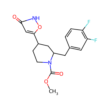 COC(=O)N1CCC(c2cc(=O)[nH]o2)CC1Cc1ccc(F)c(F)c1